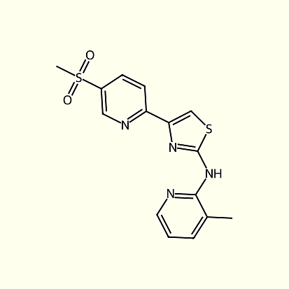 Cc1cccnc1Nc1nc(-c2ccc(S(C)(=O)=O)cn2)cs1